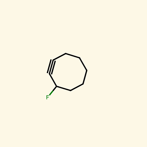 F[C]1C#CCCCCC1